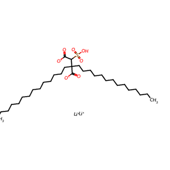 CCCCCCCCCCCCCCC(CCCCCCCCCCCCCC)(C(=O)[O-])C(C(=O)[O-])S(=O)(=O)O.[Li+].[Li+]